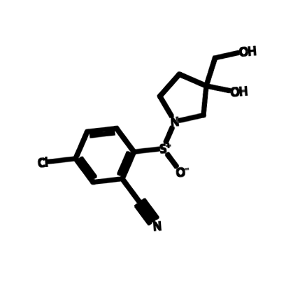 N#Cc1cc(Cl)ccc1[S+]([O-])N1CCC(O)(CO)C1